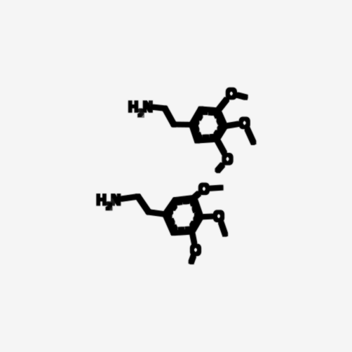 COc1cc(CCN)cc(OC)c1OC.COc1cc(CCN)cc(OC)c1OC